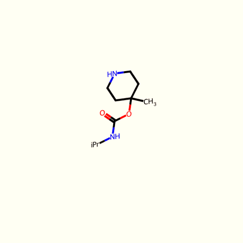 CC(C)NC(=O)OC1(C)CCNCC1